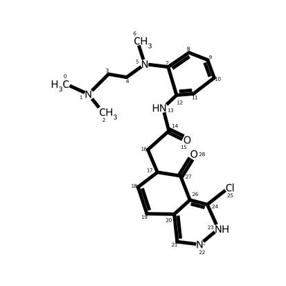 CN(C)CCN(C)c1ccccc1NC(=O)CC1C=CC2=C[N]NC(Cl)=C2C1=O